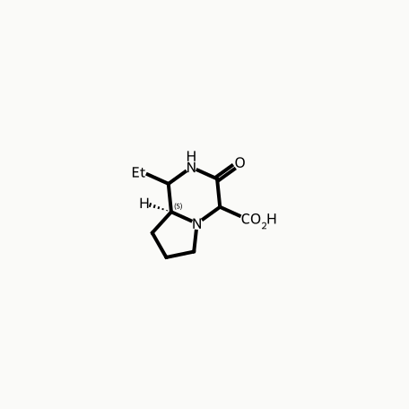 CCC1NC(=O)C(C(=O)O)N2CCC[C@@H]12